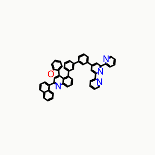 c1ccc(-c2cc(-c3cccc(-c4cccc(-c5cccc6nc(-c7cccc8ccccc78)c7oc8ccccc8c7c56)c4)c3)cc(-c3ccccn3)n2)nc1